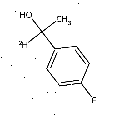 [2H]C(C)(O)c1ccc(F)cc1